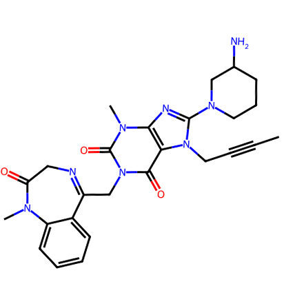 CC#CCn1c(N2CCCC(N)C2)nc2c1c(=O)n(CC1=NCC(=O)N(C)c3ccccc31)c(=O)n2C